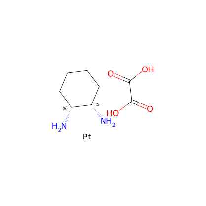 N[C@@H]1CCCC[C@@H]1N.O=C(O)C(=O)O.[Pt]